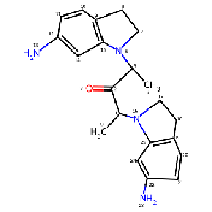 CC(C(=O)C(C)N1CCc2ccc(N)cc21)N1CCc2ccc(N)cc21